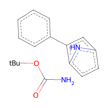 CC(C)(C)OC(N)=O.c1ccc(-c2cc3ccc2[nH]3)cc1